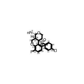 CCC[C@@H]1OCC[C@@]2(S(=O)(=O)c3ccc(Cl)cc3)c3c(F)ccc(F)c3OC[C@@H]12